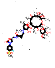 CC[C@H]1OC(=O)[C@H](C)[C@@H](O[C@H]2C[C@@](C)(OC)[C@@H](O)[C@H](C)O2)[C@H](C)[C@@H](O[C@@H]2O[C@H](C)C[C@H](N(C)CC3CC3C(=O)NC[C@H]3CN(c4ccc(S(C)(=O)=O)c(F)c4)C(=O)O3)[C@H]2O)[C@](C)(OC)C[C@@H](C)C(=O)[C@H](C)[C@@H](O)[C@]1(C)O